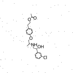 CC(=O)OCCc1ccc(OCC(C)NCC(O)c2cccc(Cl)c2)cc1